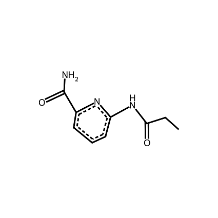 CCC(=O)Nc1cccc(C(N)=O)n1